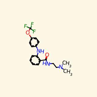 CN(C)CCNC(=O)c1ccccc1Nc1ccc(OC(F)(F)F)cc1